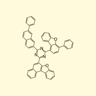 c1ccc(-c2ccc3ccc(-c4nc(-c5cc6ccccc6c6c5oc5ccccc56)nc(-c5ccc(-c6ccccc6)c6oc7ccccc7c56)n4)cc3c2)cc1